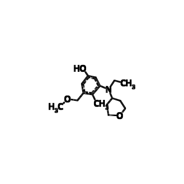 CCN(c1cc(O)cc(COC)c1C)C1CCOCC1